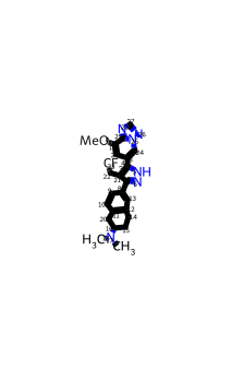 COc1cc(-c2[nH]nc(-c3ccc4c(c3)CCC(N(C)C)C4)c2CC(F)(F)F)cn2ncnc12